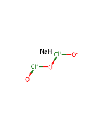 [NaH].[O-][Cl+]O[Cl+][O-]